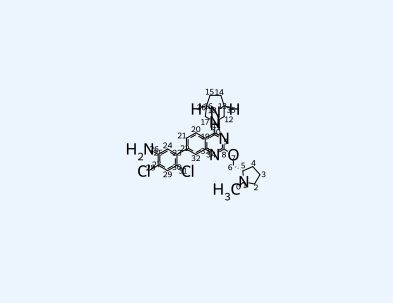 CN1CCC[C@H]1COc1nc(N2C[C@H]3CC[C@@H](C2)N3)c2ccc(-c3cc(N)c(Cl)cc3Cl)cc2n1